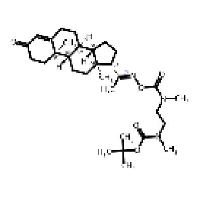 C/C(=N\OC(=O)N(C)CCN(C)C(=O)OC(C)(C)C)[C@H]1CC[C@H]2[C@@H]3CCC4=CC(=O)CC[C@]4(C)[C@H]3CC[C@]12C